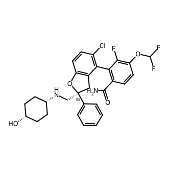 NC(=O)c1ccc(OC(F)F)c(F)c1-c1c(Cl)ccc2c1C[C@@](CN[C@H]1CC[C@@H](O)CC1)(c1ccccc1)O2